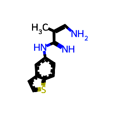 C/C(=C/N)C(=N)Nc1ccc2sccc2c1